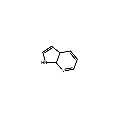 [C]1=CC=NC2NC=CC12